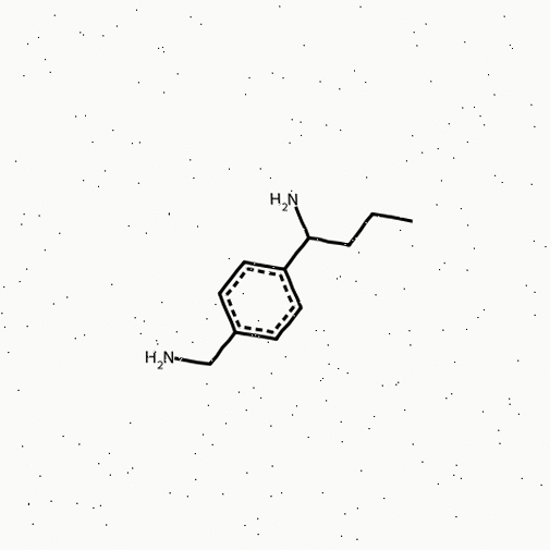 CCCC(N)c1ccc(CN)cc1